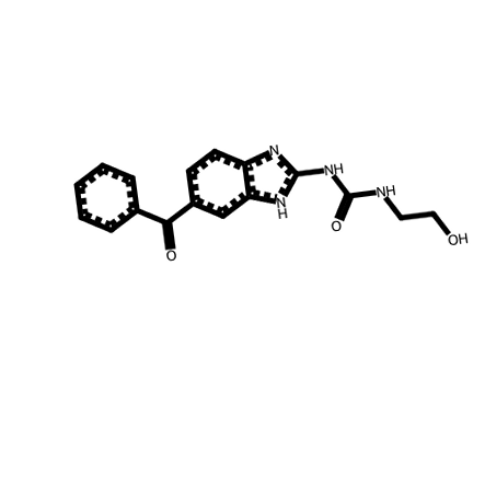 O=C(NCCO)Nc1nc2ccc(C(=O)c3ccccc3)cc2[nH]1